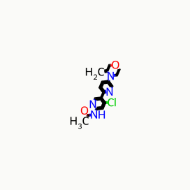 C=C1COCCN1c1ccc(-c2cnc(NC(C)=O)cc2Cl)nc1